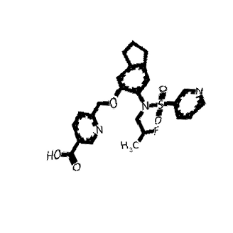 CC(F)CN(c1cc2c(cc1OCc1ccc(C(=O)O)cn1)CCC2)S(=O)(=O)c1cccnc1